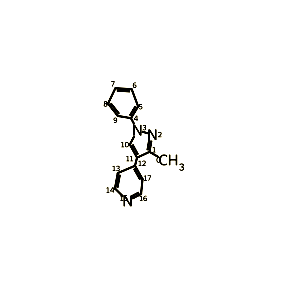 Cc1nn(-c2ccccc2)cc1-c1ccncc1